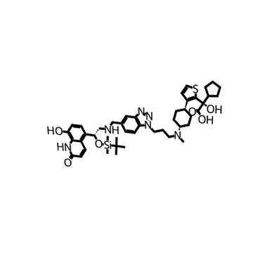 CN(CCCn1nnc2cc(CNC[C@H](O[Si](C)(C)C(C)(C)C)c3ccc(O)c4[nH]c(=O)ccc34)ccc21)[C@H]1CC[C@H](c2ccsc2[C@@](O)(C(=O)O)C2CCCC2)CC1